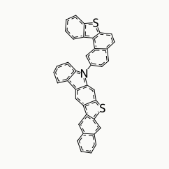 c1ccc2cc3c(cc2c1)sc1cc2c(cc13)c1ccccc1n2-c1ccc2ccc3sc4ccccc4c3c2c1